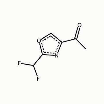 CC(=O)c1coc(C(F)F)n1